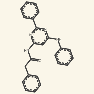 O=C(Cc1ccccc1)Nc1cc(Nc2ccccc2)nc(-c2ccccc2)n1